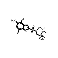 COP(=O)(CN(C(=O)O)S(=O)(=O)c1cc2c(Cl)c(C)cc(Cl)c2s1)OC